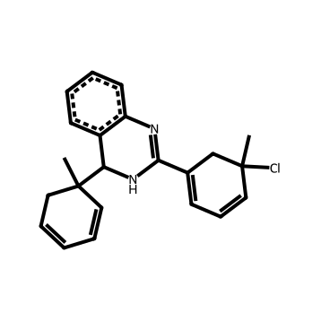 CC1(Cl)C=CC=C(C2=Nc3ccccc3C(C3(C)C=CC=CC3)N2)C1